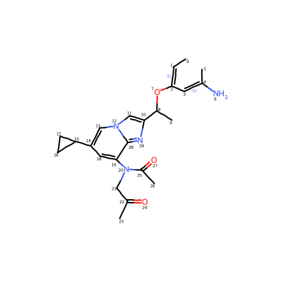 C/C=C(\C=C(/C)N)OC(C)c1cn2cc(C3CC3)cc(N(CC(C)=O)C(C)=O)c2n1